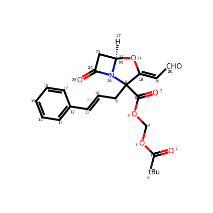 CC(C)(C)C(=O)OCOC(=O)C1(C/C=C/c2ccccc2)C(=CC=O)O[C@@H]2CC(=O)N21